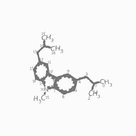 CC(C)Cc1ccc2c(c1)c1cc(CC(C)C)ccc1n2C